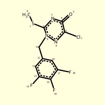 CSc1nc(=O)c(Cl)nn1Cc1cc(F)c(F)c(F)c1